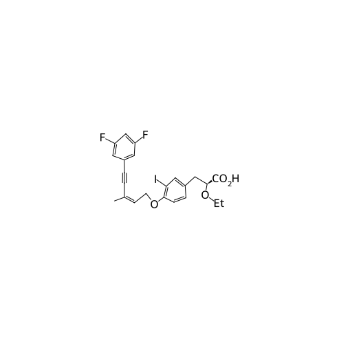 CCO[C@@H](Cc1ccc(OC/C=C(/C)C#Cc2cc(F)cc(F)c2)c(I)c1)C(=O)O